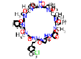 CC[C@H](C)[C@@H]1NC(=O)[C@H](CC(C)C)N(C)C(=O)C[C@@H](C)N(C)C(=O)[C@H](CC(C)C)N(C)C(=O)C2(CCOCC2)NC(=O)[C@@H]2CCCN2C(=O)[C@H](CCc2ccc(C(F)(F)F)c(Cl)c2)NC(=O)CN(C)C(=O)[C@H](CC2CCCCC2)N(C)C(=O)CN(C)C(=O)CN(C)C1=O